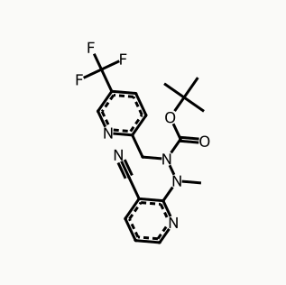 CN(c1ncccc1C#N)N(Cc1ccc(C(F)(F)F)cn1)C(=O)OC(C)(C)C